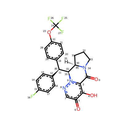 O=C1c2c(O)c(=O)cnn2[C@@H]([C@@H](c2ccc(F)cc2)c2ccc(OC(F)(F)F)cc2)[C@H]2CCCN12